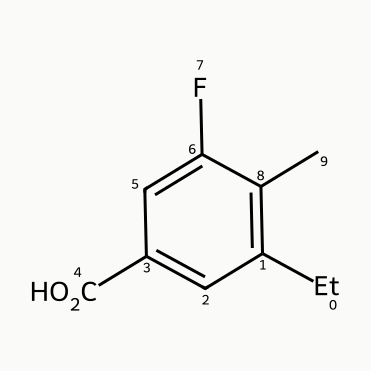 CCc1cc(C(=O)O)cc(F)c1C